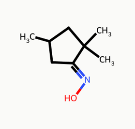 CC1CC(=NO)C(C)(C)C1